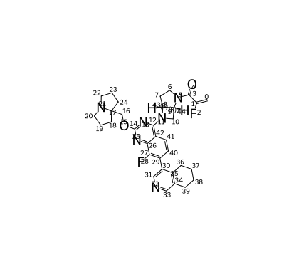 C=C(F)C(=O)N1CC[C@@H]2[C@H]1CN2c1nc(OCC23CCCN2CCC3)nc2c(F)c(-c3cncc4c3CCCC4)ccc12